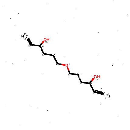 C=CC(O)CCCOCCCC(O)C=C